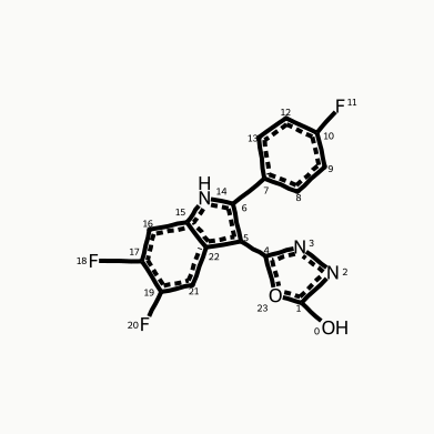 Oc1nnc(-c2c(-c3ccc(F)cc3)[nH]c3cc(F)c(F)cc23)o1